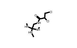 CNC(CNC(=O)C(Cl)CCl)(NC)NC